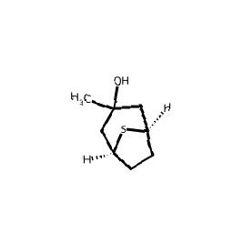 CC1(O)C[C@H]2CC[C@@H](C1)S2